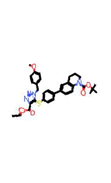 CCOC(=O)c1nnn(Cc2ccc(OC)cc2)c1Sc1ccc(-c2ccc3c(c2)CCCN3C(=O)OC(C)(C)C)cc1